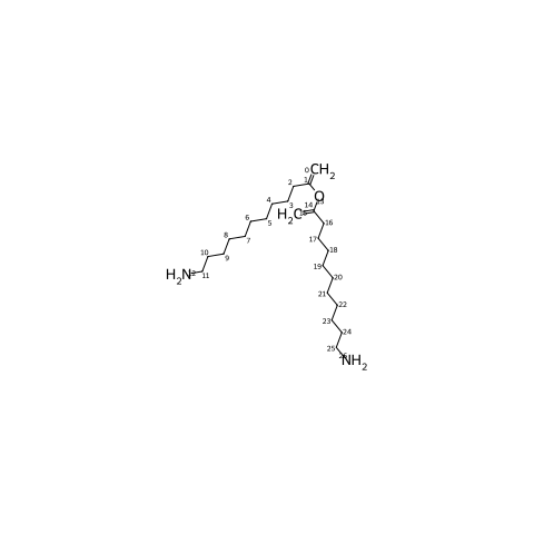 C=C(CCCCCCCCCCN)OC(=C)CCCCCCCCCCN